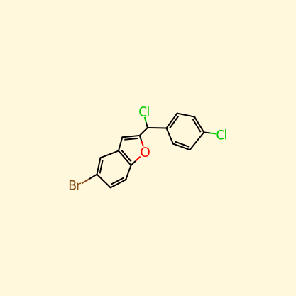 Clc1ccc(C(Cl)c2cc3cc(Br)ccc3o2)cc1